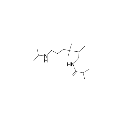 C=C(NCC(C)C(C)(C)CCCNC(C)C)C(C)C